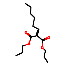 CCCCCC=C(C(=O)OCCC)C(=O)OCCC